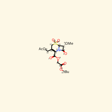 CO[C@@H]1C(=O)N2C(C(=O)OCC(=O)OC(C)(C)C)=C(COC(C)=O)CS(=O)(=O)C12